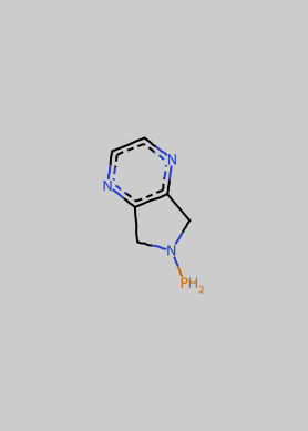 PN1Cc2nccnc2C1